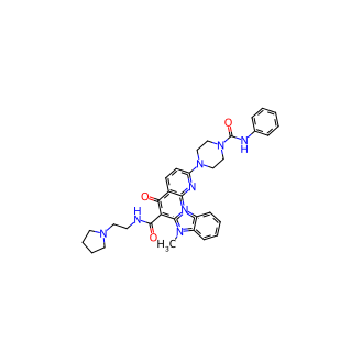 Cn1c2ccccc2n2c3nc(N4CCN(C(=O)Nc5ccccc5)CC4)ccc3c(=O)c(C(=O)NCCN3CCCC3)c12